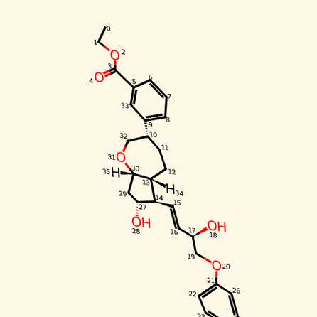 CCOC(=O)c1cccc([C@@H]2CC[C@@H]3[C@@H](C=C[C@@H](O)COc4ccccc4)[C@H](O)C[C@@H]3OC2)c1